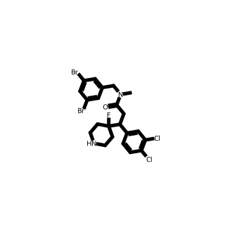 CN(Cc1cc(Br)cc(Br)c1)C(=O)CC(c1ccc(Cl)c(Cl)c1)C1(F)CCNCC1